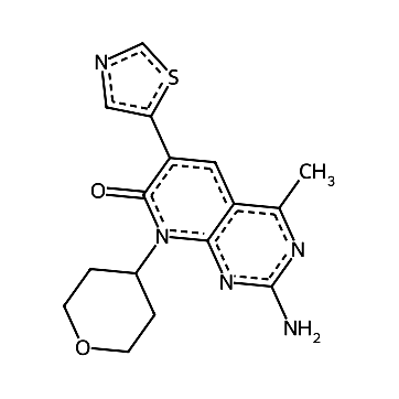 Cc1nc(N)nc2c1cc(-c1cncs1)c(=O)n2C1CCOCC1